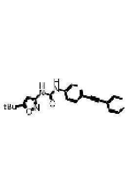 C=C(C#CC(/C=C\C)=C/C)/C=C\C(=C/C)NC(=O)Nc1cc(C(C)(C)C)on1